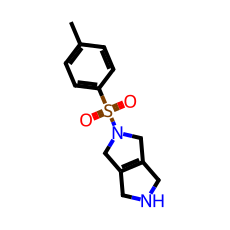 Cc1ccc(S(=O)(=O)N2CC3=C(CNC3)C2)cc1